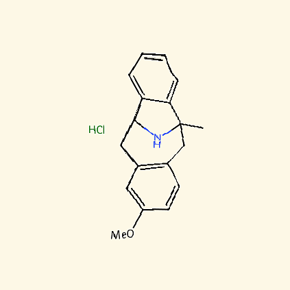 COc1ccc2c(c1)CC1NC(C)(C2)c2ccccc21.Cl